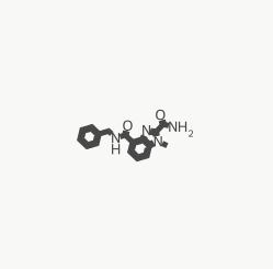 Cn1c(C(N)=O)nc2c(C(=O)NCc3ccccc3)cccc21